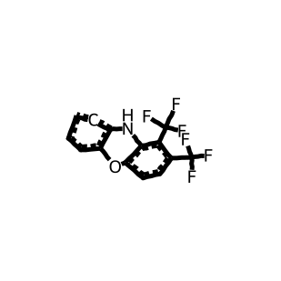 FC(F)(F)c1ccc2c(c1C(F)(F)F)Nc1ccccc1O2